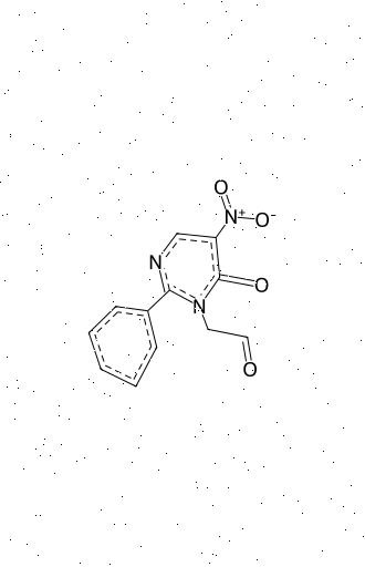 O=CCn1c(-c2ccccc2)ncc([N+](=O)[O-])c1=O